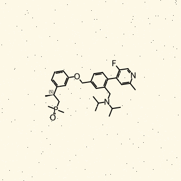 Cc1cc(-c2ccc(COc3cccc([C@H](C)CP(C)(C)=O)c3)cc2CN(C(C)C)C(C)C)c(F)cn1